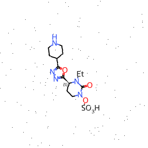 CCN1C(=O)N(OS(=O)(=O)O)CC[C@H]1c1nnc(C2CCNCC2)o1